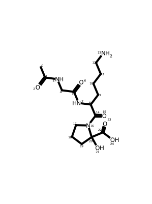 CC(=O)NCC(=O)NC(CCCCN)C(=O)N1CCCC1(O)C(=O)O